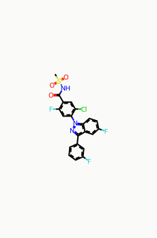 CS(=O)(=O)NC(=O)c1cc(Cl)c(-n2nc(-c3cccc(F)c3)c3cc(F)ccc32)cc1F